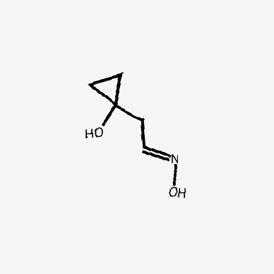 ON=CCC1(O)CC1